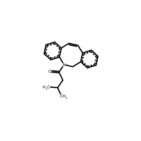 CC(C)CC(=O)N1Cc2ccccc2/C=C\c2ccccc21